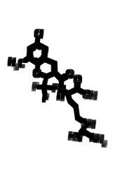 Cc1cc(Cl)cc2c1O[C@H](C(F)(F)F)C(C(=O)NC(CCCNC(=N)N)C(=O)O)=C2